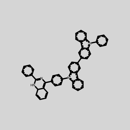 C1=CC2=C(c3ccc(-n4c5ccccc5c5cc(-c6ccc7c(c6)c6ccccc6n7-c6ccccc6)ccc54)cc3)N=C(c3ccccc3)NC2C=C1